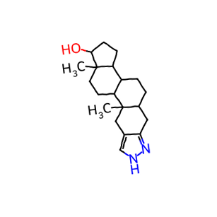 CC12CCC3C(CCC4Cc5n[nH]cc5CC43C)C1CCC2O